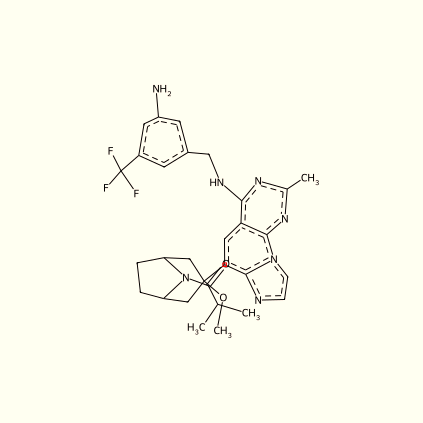 COC1(c2cc3c(NCc4cc(N)cc(C(F)(F)F)c4)nc(C)nc3n3ccnc23)CC2CCC(C1)N2C(=O)C(C)C